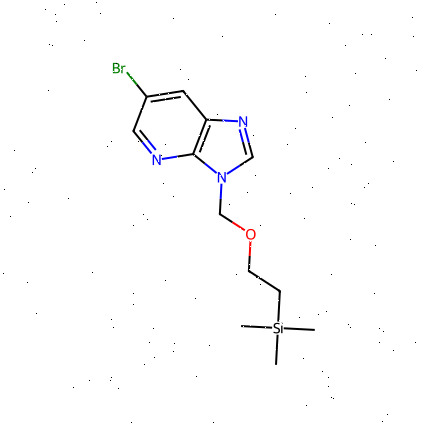 C[Si](C)(C)CCOCn1cnc2cc(Br)cnc21